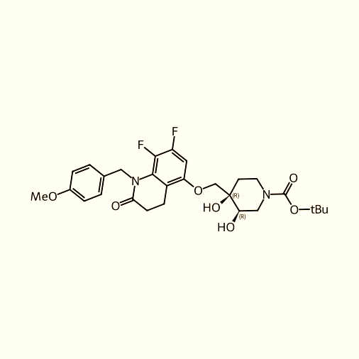 COc1ccc(CN2C(=O)CCc3c(OC[C@]4(O)CCN(C(=O)OC(C)(C)C)C[C@H]4O)cc(F)c(F)c32)cc1